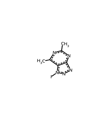 Cc1nc(C)c2c(nnn2I)n1